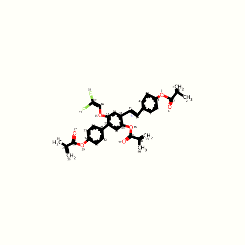 C=C(C)C(=O)Oc1ccc(/C=C/c2cc(OC=C(F)F)c(-c3ccc(OC(=O)C(=C)C)cc3)cc2OC(=O)C(=C)C)cc1